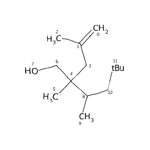 C=C(C)CC(C)(CO)C(C)CC(C)(C)C